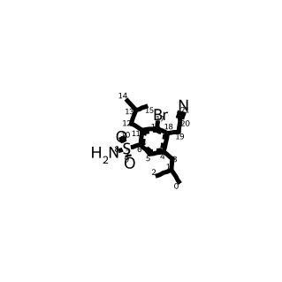 CC(C)Cc1cc(S(N)(=O)=O)c(CC(C)C)c(Br)c1CC#N